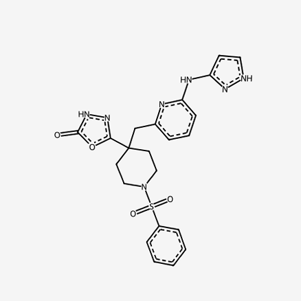 O=c1[nH]nc(C2(Cc3cccc(Nc4cc[nH]n4)n3)CCN(S(=O)(=O)c3ccccc3)CC2)o1